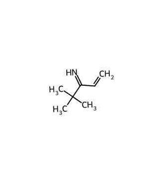 C=CC(=N)C(C)(C)C